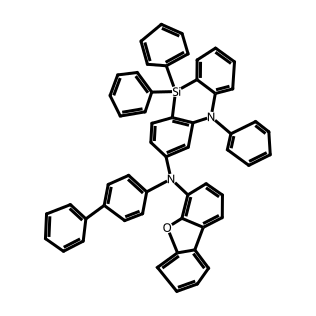 c1ccc(-c2ccc(N(c3ccc4c(c3)N(c3ccccc3)c3ccccc3[Si]4(c3ccccc3)c3ccccc3)c3cccc4c3oc3ccccc34)cc2)cc1